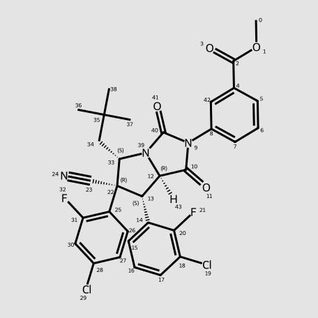 COC(=O)c1cccc(N2C(=O)[C@H]3[C@H](c4cccc(Cl)c4F)[C@@](C#N)(c4ccc(Cl)cc4F)[C@H](CC(C)(C)C)N3C2=O)c1